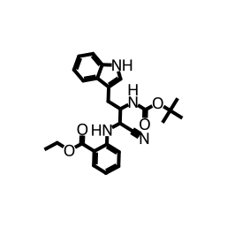 CCOC(=O)c1ccccc1NC(C#N)C(Cc1c[nH]c2ccccc12)NC(=O)OC(C)(C)C